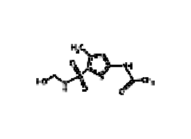 CC(=O)Nc1cc(C)c(S(=O)(=O)NCO)s1